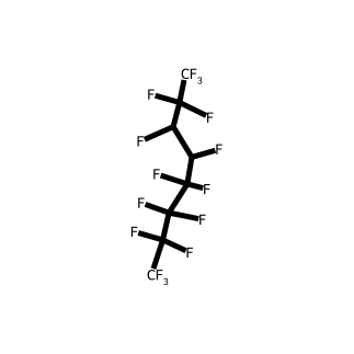 FC(C(F)C(F)(F)C(F)(F)C(F)(F)C(F)(F)F)C(F)(F)C(F)(F)F